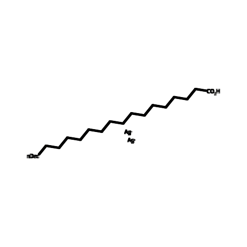 CCCCCCCCCCCCCCCCCCCCCCCCCC(=O)O.[Ag].[Ag]